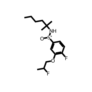 CCCCC(C)(C)N[S+]([O-])c1ccc(F)c(OCC(C)F)c1